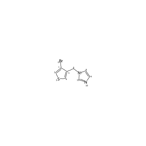 Brc1cscc1Cn1ccnc1